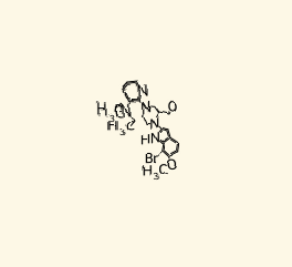 CCN(C)c1cccnc1N1CCN(c2cc3ccc(OC)c(Br)c3[nH]2)C(C=O)C1